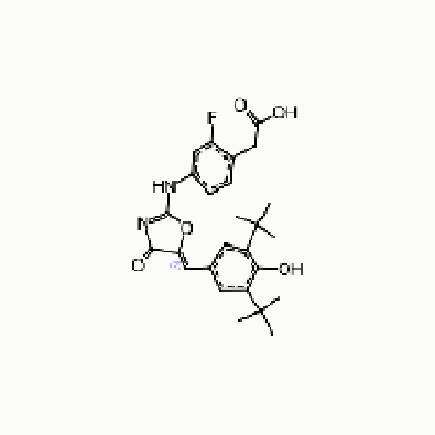 CC(C)(C)c1cc(/C=C2\OC(Nc3ccc(CC(=O)O)c(F)c3)=NC2=O)cc(C(C)(C)C)c1O